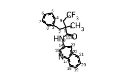 CC(Cc1ccccc1)(CC(F)(F)F)C(=O)Nc1cnc2ccccc2c1